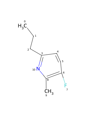 CCCc1ccc(F)c(C)n1